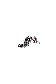 COCCNC(C)(C)C=C(C#N)C(=O)N1CCC(n2c(=O)n(-c3ccc(Oc4ccccc4)cc3)c3c(N)ncnc32)C1